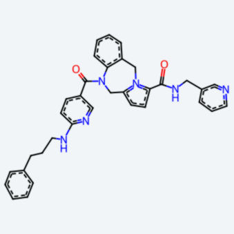 O=C(NCc1cccnc1)c1ccc2n1Cc1ccccc1N(C(=O)c1ccc(NCCCc3ccccc3)nc1)C2